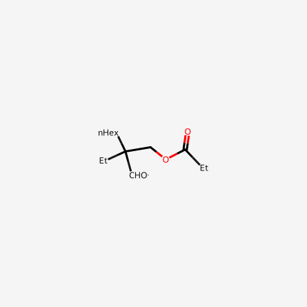 CCCCCCC([C]=O)(CC)COC(=O)CC